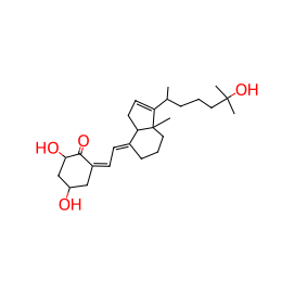 CC(CCCC(C)(C)O)C1=CCC2/C(=C/C=C3/CC(O)CC(O)C3=O)CCCC12C